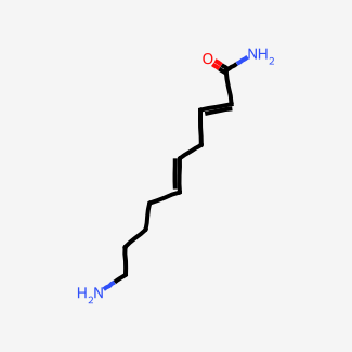 NCCCCC=CCC=CC(N)=O